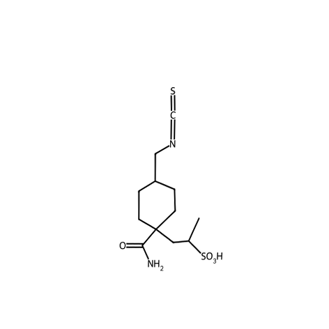 CC(CC1(C(N)=O)CCC(CN=C=S)CC1)S(=O)(=O)O